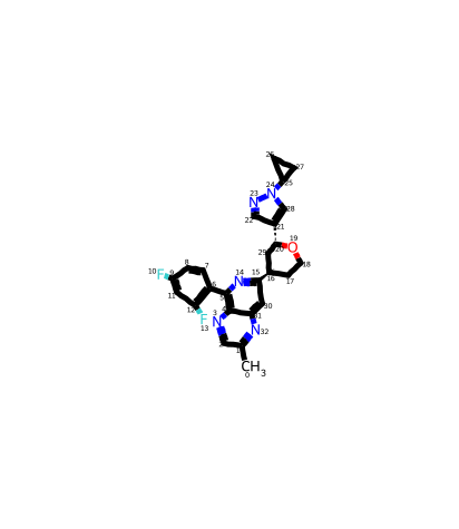 Cc1cnc2c(-c3ccc(F)cc3F)nc([C@@H]3CCO[C@@H](c4cnn(C5CC5)c4)C3)cc2n1